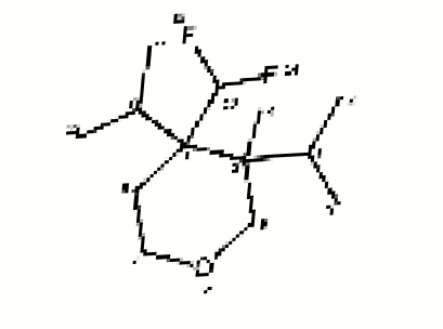 CC(C)C1(C)COCCC1(C(C)C)C(F)F